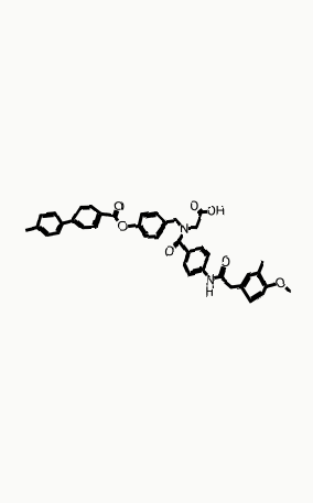 COc1ccc(CC(=O)Nc2ccc(C(=O)N(CC(=O)O)Cc3ccc(OC(=O)c4ccc(-c5ccc(C)cc5)cc4)cc3)cc2)cc1C